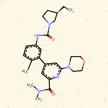 Cc1ccc(NC(=O)N2CC[C@@H](CC(F)(F)F)C2)cc1-c1cc(C(=O)N(C)C)nc(N2CCOCC2)c1